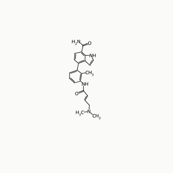 Cc1c(NC(=O)/C=C/CN(C)C)cccc1-c1ccc(C(N)=O)c2[nH]ccc12